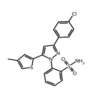 Cc1csc(-c2cc(-c3ccc(Cl)cc3)nn2-c2ccccc2S(N)(=O)=O)c1